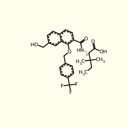 CCC(C)(C)[C@H](NC(=O)c1ccc2ccc(CO)cc2c1OCc1ccc(C(F)(F)F)cc1)C(=O)O